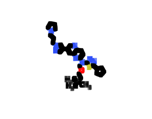 C[Si](C)(C)CCOCN(c1ccc2ncc(-c3cnn(CCCN4CCCC4)c3)cc2n1)c1nnc(C2CCCC2)s1